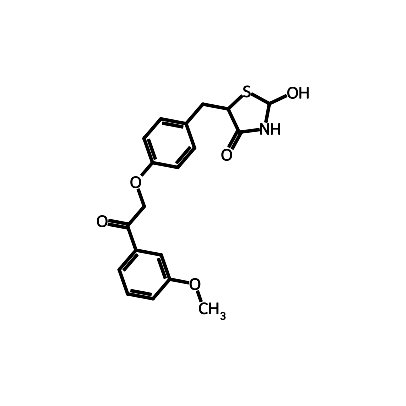 COc1cccc(C(=O)COc2ccc(CC3SC(O)NC3=O)cc2)c1